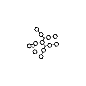 c1ccc(-c2ccc(N(c3ccc(-c4ccccc4)cc3)c3cc(-c4ccc5c6ccccc6n(-c6ccccc6)c5c4)cc(N(c4ccc(-c5ccccc5)cc4)c4ccc(-c5ccccc5)cc4)c3)cc2)cc1